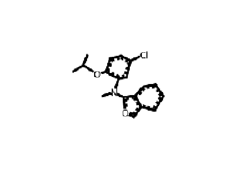 CC(C)Oc1ccc(Cl)cc1N(C)c1occ2ccccc12